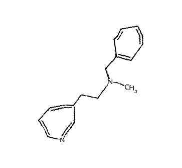 CN(CCc1cccnc1)Cc1ccccc1